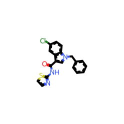 O=C(Nc1nccs1)c1cn(Cc2ccccc2)c2ccc(Cl)cc12